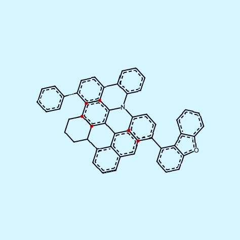 c1ccc(-c2ccc(-c3ccccc3N(c3ccc(-c4cccc5oc6ccccc6c45)cc3)c3ccccc3-c3cccc4cccc(C5CCCCC5)c34)cc2)cc1